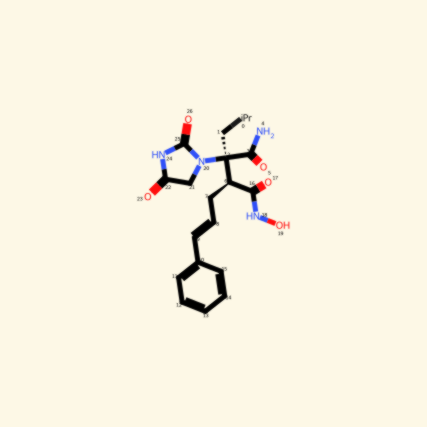 CC(C)C[C@](C(N)=O)([C@H](C/C=C/c1ccccc1)C(=O)NO)N1CC(=O)NC1=O